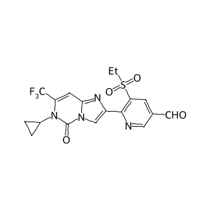 CCS(=O)(=O)c1cc(C=O)cnc1-c1cn2c(=O)n(C3CC3)c(C(F)(F)F)cc2n1